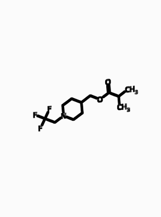 CC(C)C(=O)OCC1CCN(CC(F)(F)F)CC1